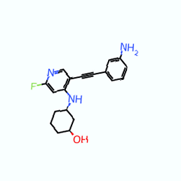 Nc1cccc(C#Cc2cnc(F)cc2N[C@@H]2CCC[C@H](O)C2)c1